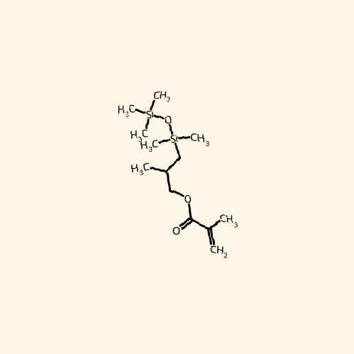 C=C(C)C(=O)OCC(C)C[Si](C)(C)O[Si](C)(C)C